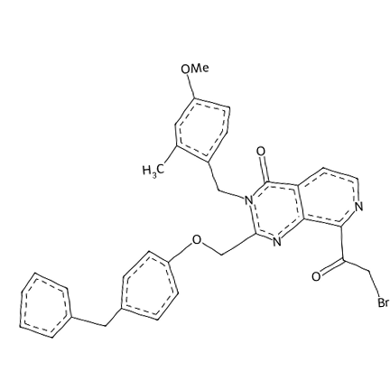 COc1ccc(Cn2c(COc3ccc(Cc4ccccc4)cc3)nc3c(C(=O)CBr)nccc3c2=O)c(C)c1